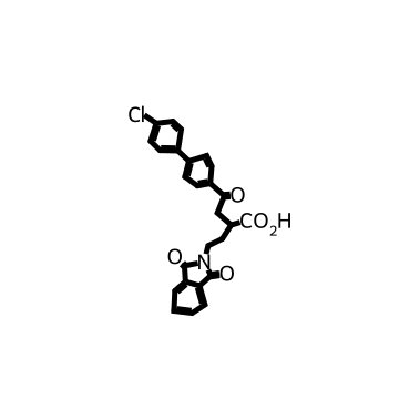 O=C(CC(CCN1C(=O)c2ccccc2C1=O)C(=O)O)c1ccc(-c2ccc(Cl)cc2)cc1